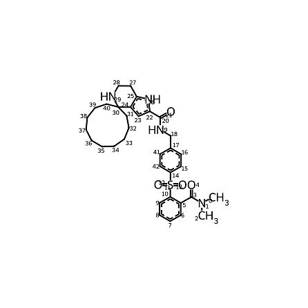 CN(C)C(=O)c1ccccc1S(=O)(=O)c1ccc(CNC(=O)c2cc3c([nH]2)CCNC32CCCCCCCCCC2)cc1